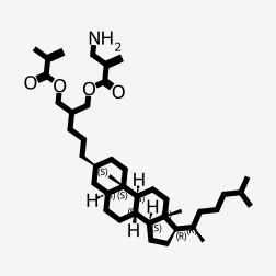 C=C(C)C(=O)OCC(CCC[C@H]1CC[C@@]2(C)[C@@H](CC[C@@H]3[C@@H]2CC[C@]2(C)[C@@H]([C@H](C)CCCC(C)C)CC[C@@H]32)C1)COC(=O)C(=C)CN